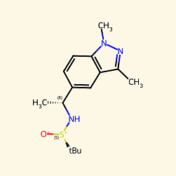 Cc1nn(C)c2ccc([C@@H](C)N[S@+]([O-])C(C)(C)C)cc12